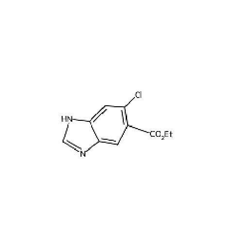 CCOC(=O)c1cc2nc[nH]c2cc1Cl